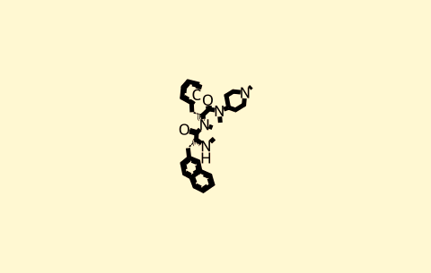 CN[C@H](Cc1ccc2ccccc2c1)C(=O)N(C)[C@H](Cc1ccccc1)C(=O)N(C)C1CCN(C)CC1